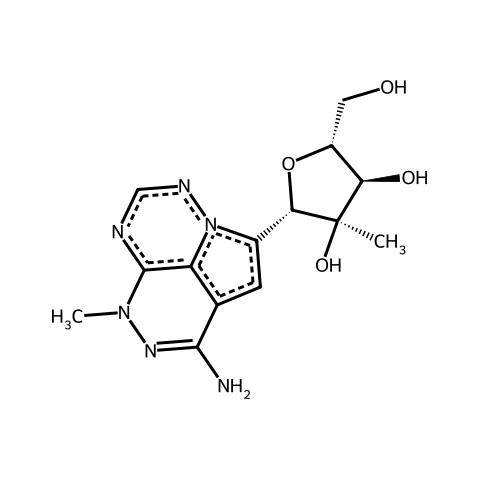 CN1N=C(N)c2cc([C@@H]3O[C@H](CO)[C@@H](O)[C@@]3(C)O)n3ncnc1c23